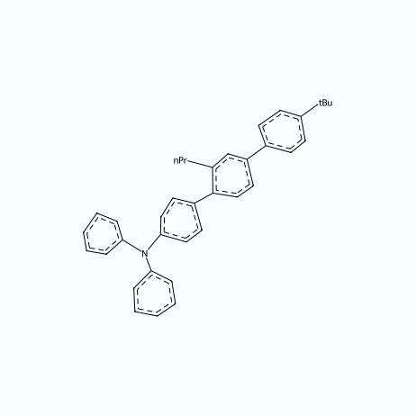 CCCc1cc(-c2ccc(C(C)(C)C)cc2)ccc1-c1ccc(N(c2ccccc2)c2ccccc2)cc1